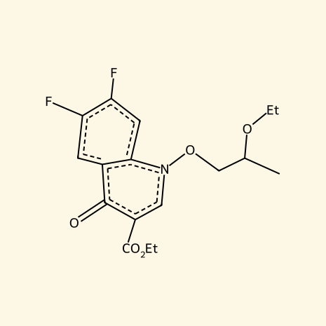 CCOC(=O)c1cn(OCC(C)OCC)c2cc(F)c(F)cc2c1=O